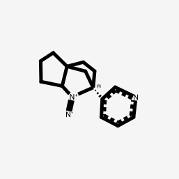 [N-]=[N+]1C2CCCC23CC[C@]1(c1cccnc1)C3